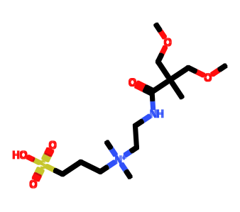 COCC(C)(COC)C(=O)NCC[N+](C)(C)CCCS(=O)(=O)O